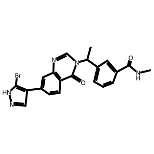 CNC(=O)c1cccc(C(C)n2cnc3cc(-c4cn[nH]c4Br)ccc3c2=O)c1